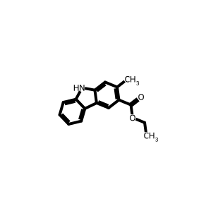 CCOC(=O)c1cc2c(cc1C)[nH]c1ccccc12